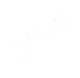 O=C(Cn1ncc2ncc(NI)nc21)Nc1ccn2ncnc2c1